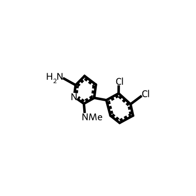 CNc1nc(N)ccc1-c1cccc(Cl)c1Cl